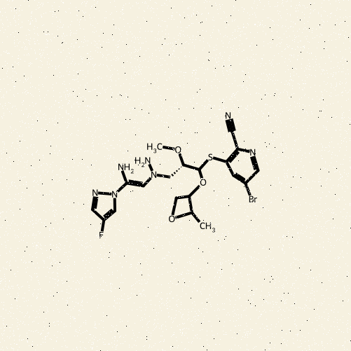 CO[C@@H](CN(N)/C=C(\N)n1cc(F)cn1)C(OC1COC1C)Sc1cc(Br)cnc1C#N